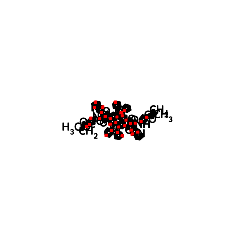 C=C(C)C(=O)Oc1ccc(NC(=O)C(c2ccc3cccnc3c2)N2C(=O)c3cc(Oc4ccccc4)c4c5c(Oc6ccccc6)cc6c7c(cc(Oc8ccccc8)c(c8c(Oc9ccccc9)cc(c3c48)C2=O)c75)C(=O)N(C(C(=O)Nc2ccc(OC(=O)C(=C)C)cc2)c2ccc3cccnc3c2)C6=O)cc1